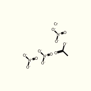 CC(=O)[O-].O=[N+]([O-])[O-].O=[N+]([O-])[O-].O=[N+]([O-])[O-].[Cr]